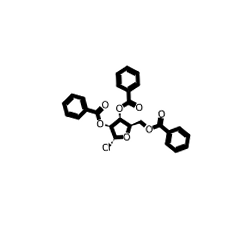 O=C(OC[C@H]1O[C@H](Cl)[C@H](OC(=O)c2ccccc2)[C@@H]1OC(=O)c1ccccc1)c1ccccc1